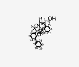 CC1(C)OC(N[C@@H](CCO)c2ccccc2)=NS(=O)(=O)C1c1cccc(-c2ccccc2)c1